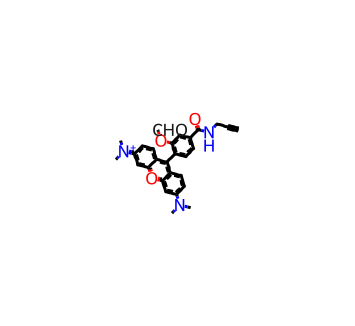 C#CCNC(=O)c1ccc(-c2c3ccc(=[N+](C)C)cc-3oc3cc(N(C)C)ccc23)c(OC=O)c1